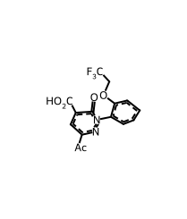 CC(=O)c1cc(C(=O)O)c(=O)n(-c2ccccc2OCC(F)(F)F)n1